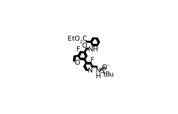 CCOC(=O)Cc1ccccc1NC(=O)c1cc(-c2ccnc(CN[S@@+]([O-])C(C)(C)C)c2F)c2occc2c1F